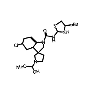 CCCCC1CSC(NC(=O)N2CC3(CCN(C(O)OC)C3)C3CC(Cl)CC=C32)N1